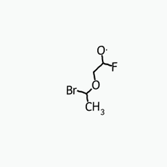 CC(Br)OCC([O])F